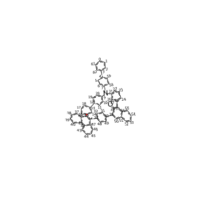 c1ccc(-c2ccc(N(c3ccc(-c4ccccc4)cc3)c3cccc4c3oc3c(-c5ccc(-c6cc7ccccc7c7ccccc67)cc5)cc5ccccc5c34)cc2)cc1